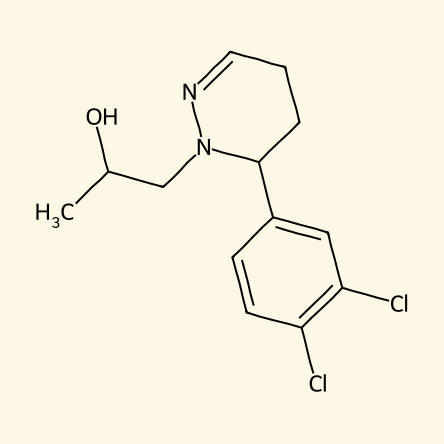 CC(O)CN1N=CCCC1c1ccc(Cl)c(Cl)c1